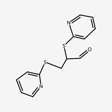 O=CC(CSc1ccccn1)Sc1ccccn1